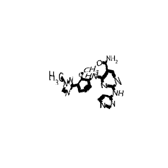 COc1c(Nc2nc(Nc3ccncn3)ncc2C(N)=O)cccc1-c1ncn(C)n1